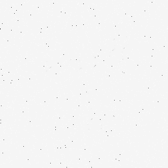 CN(C[C@@H](CCN1CCC(c2ccccc2[S@+](C)[O-])CC1)c1ccc(Cl)c(Cl)c1)C(=O)c1cc(C#N)cc2ccccc12.O=C(O)/C=C/C(=O)O